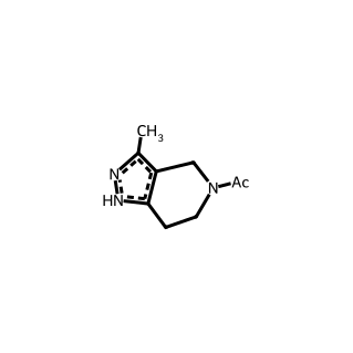 CC(=O)N1CCc2[nH]nc(C)c2C1